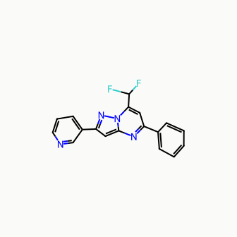 FC(F)c1cc(-c2ccccc2)nc2cc(-c3cccnc3)nn12